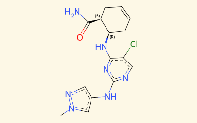 Cn1cc(Nc2ncc(Cl)c(N[C@@H]3CC=CC[C@@H]3C(N)=O)n2)cn1